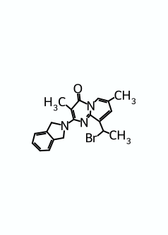 Cc1cc(C(C)Br)c2nc(N3Cc4ccccc4C3)c(C)c(=O)n2c1